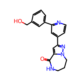 O=C1NCCCn2nc(-c3ccnc(-c4cccc(CO)c4)c3)cc21